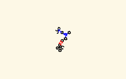 C=CC1=C(C=C)C(c2ccccc2)(c2ccccc2)c2ccc3c(c21)Oc1cc(-c2cccc(-c4nc(-c5ccccc5)nc(-c5ccc(-n6c(C=C)c(C=C)c7c6CCC=C7)cc5)n4)c2)ccc1O3